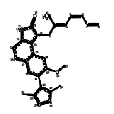 C=C/C=C\C=C(/N)Cn1c(=O)[nH]c2cnc3cc(-c4c(C)noc4C)c(OC)cc3c21